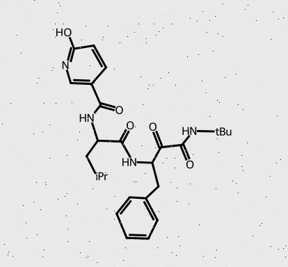 CC(C)CC(NC(=O)c1ccc(O)nc1)C(=O)NC(Cc1ccccc1)C(=O)C(=O)NC(C)(C)C